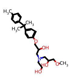 COCC(O)CN(CCO)CC(O)COc1ccc(C(C)(C)c2ccc(C)cc2)cc1